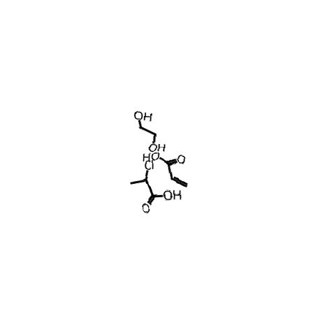 C=CC(=O)O.CC(Cl)C(=O)O.OCCO